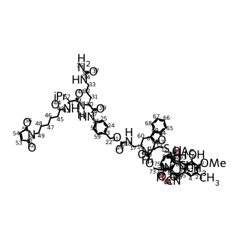 COc1c(C)cc2c(c1O)[C@H]1[C@@H]3[C@@H]4SC[C@]5(N[C@@H](CNC(=O)OCc6ccc(NC(=O)[C@H](CCCNC(N)=O)NC(=O)[C@@H](NC(=O)CCCCCN7C(=O)C=CC7=O)C(C)C)cc6)Cc6c5oc5ccccc65)C(=O)OC[C@@H](c5c6c(c(C)c(OC(C)=O)c54)OCO6)N3C(C#N)(C2)CN1C